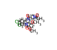 COc1ccc(OC)c(C(=O)N(C)C2CCN(C(=O)C3CCN(C(C)=O)CC3)CC2c2ccc(Cl)c(Cl)c2)c1